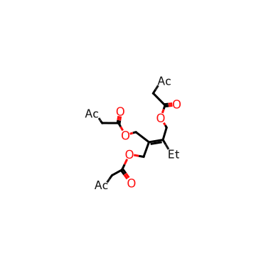 CCC(COC(=O)CC(C)=O)=C(COC(=O)CC(C)=O)COC(=O)CC(C)=O